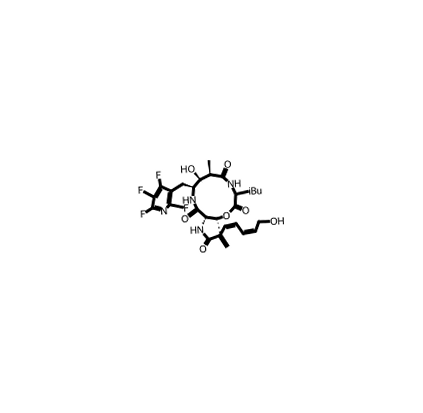 C=C(/C=C\C=C/CO)C(=O)N[C@@H]1C(=O)N[C@@H](Cc2c(F)nc(F)c(F)c2F)[C@@H](O)[C@@H](C)C(=O)NC(C(C)CC)C(=O)O[C@@H]1C